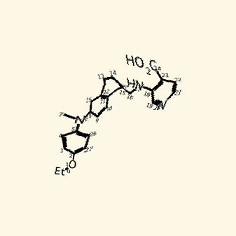 CCOc1ccc(N(C)C2C=CC3=C(CC[C@H]3CNc3cnccc3C(=O)O)C2)cc1